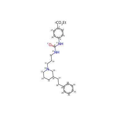 CCOC(=O)c1ccc(NC(=O)NCCCN2CCCC(CCc3ccccc3)C2)cc1